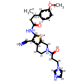 COc1cccc([C@@H](C)CC(=O)Nc2sc3c(c2C#N)CCN(C(=O)CCn2ccnc2)C3)c1